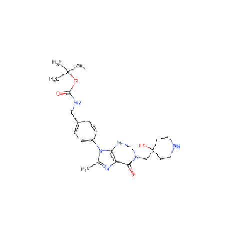 Cc1nc2c(=O)n(CC3(O)CCNCC3)cnc2n1-c1ccc(CNC(=O)OC(C)(C)C)cc1